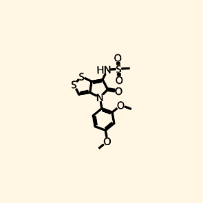 COc1ccc(-n2c3cssc-3c(NS(C)(=O)=O)c2=O)c(OC)c1